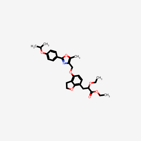 CCOC(=O)C(Cc1ccc(OCc2nc(-c3ccc(OC(C)C)cc3)oc2C)c2c1OCC2)OCC